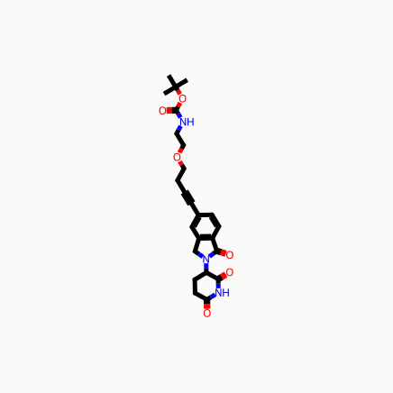 CC(C)(C)OC(=O)NCCOCCC#Cc1ccc2c(c1)CN(C1CCC(=O)NC1=O)C2=O